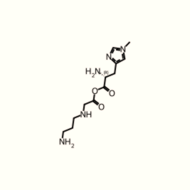 Cn1cnc(C[C@@H](N)C(=O)OC(=O)CNCCCN)c1